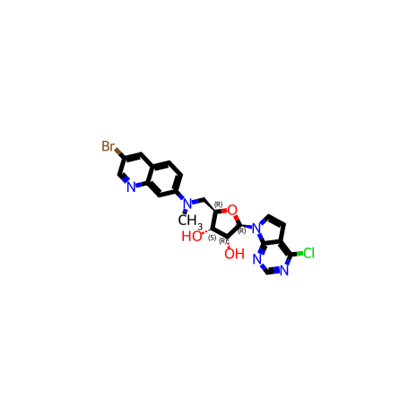 CN(C[C@H]1O[C@@H](n2ccc3c(Cl)ncnc32)[C@H](O)[C@@H]1O)c1ccc2cc(Br)cnc2c1